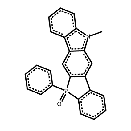 Cn1c2ccccc2c2cc3c(cc21)-c1ccccc1P3(=O)c1ccccc1